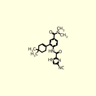 [C-]#[N+]c1c[nH]c(C(=O)Nc2ccc(C(=O)N(C)C)cc2C2=CCC(C)(C)CC2)n1